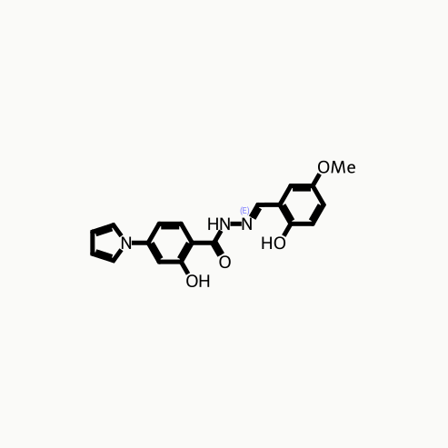 COc1ccc(O)c(/C=N/NC(=O)c2ccc(-n3cccc3)cc2O)c1